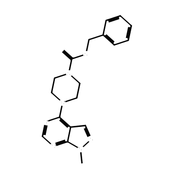 Cn1ncc2c(N3CCN(C(=S)NCc4ccccc4)CC3)ncnc21